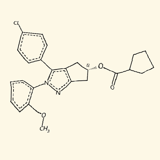 COc1ccccc1-n1nc2c(c1-c1ccc(Cl)cc1)C[C@H](OC(=O)C1CCCC1)C2